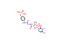 Cn1c(=O)ccn([C@@H]2O[C@H](C(=O)NCC(=O)Nc3ccc(CP(=O)(O)O)cc3)[C@@H](O)[C@@H]2O)c1=O